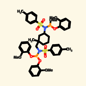 COc1ccccc1OP(Oc1ccccc1OC)N(CC1(C)CCCC(N(P(OC)Oc2ccccc2OC)S(=O)(=O)c2ccc(C)cc2)C1)S(=O)(=O)c1ccc(C)cc1